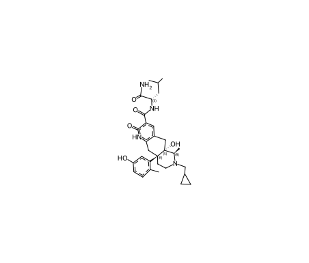 Cc1ccc(O)cc1[C@]12CCN(CC3CC3)[C@H](C)[C@]1(O)Cc1cc(C(=O)N[C@@H](CC(C)C)C(N)=O)c(=O)[nH]c1C2